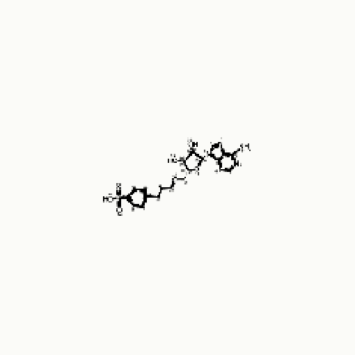 Nc1ncnc2c1ncn2[C@@H]1O[C@H](COCCCc2ccc(S(=O)(=O)O)cc2)[C@@H](O)[C@H]1O